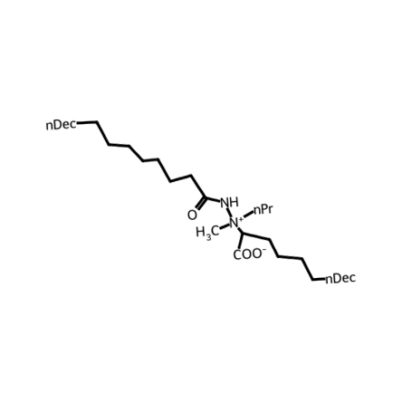 CCCCCCCCCCCCCCCCCC(=O)N[N+](C)(CCC)C(CCCCCCCCCCCCCC)C(=O)[O-]